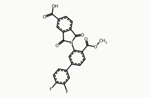 COC(=O)c1ccc(-c2ccc(F)c(F)c2)cc1N1C(=O)c2ccc(C(=O)O)cc2C1=O